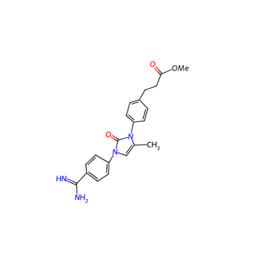 COC(=O)CCc1ccc(-n2c(C)cn(-c3ccc(C(=N)N)cc3)c2=O)cc1